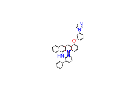 c1ccc(-c2cccc(-c3ccccc3)c2Nc2c(Nc3cccc(Oc4cccc(-n5ccnc5)c4)c3)ccc3ccccc23)cc1